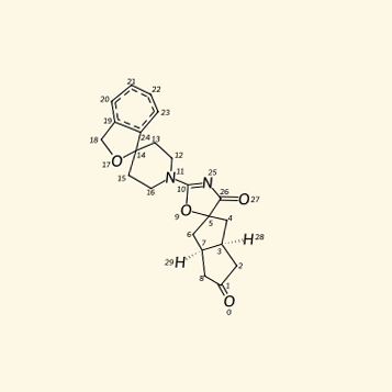 O=C1C[C@@H]2CC3(C[C@@H]2C1)OC(N1CCC2(CC1)OCc1ccccc12)=NC3=O